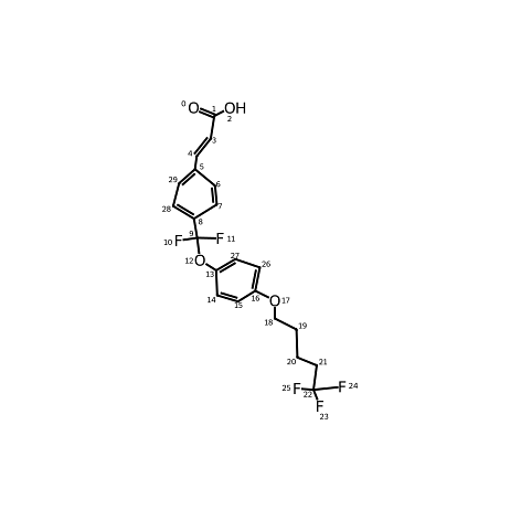 O=C(O)C=Cc1ccc(C(F)(F)Oc2ccc(OCCCCC(F)(F)F)cc2)cc1